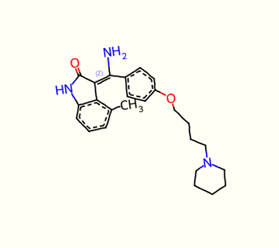 Cc1cccc2c1/C(=C(/N)c1ccc(OCCCCN3CCCCC3)cc1)C(=O)N2